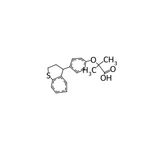 CC(C)(Oc1ccc(C2CCSc3ccccc32)cc1)C(=O)O